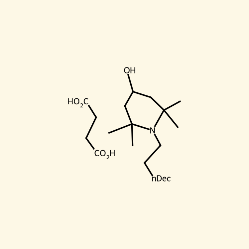 CCCCCCCCCCCCN1C(C)(C)CC(O)CC1(C)C.O=C(O)CCC(=O)O